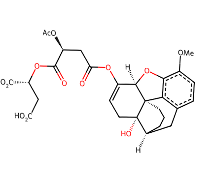 COc1ccc2c3c1O[C@@H]1C(OC(=O)C[C@H](OC(C)=O)C(=O)O[C@H](CC(=O)O)C(=O)O)=CC[C@]4(O)[C@@H](CCC[C@@]314)C2